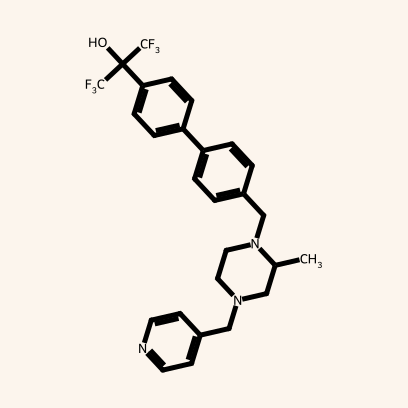 CC1CN(Cc2ccncc2)CCN1Cc1ccc(-c2ccc(C(O)(C(F)(F)F)C(F)(F)F)cc2)cc1